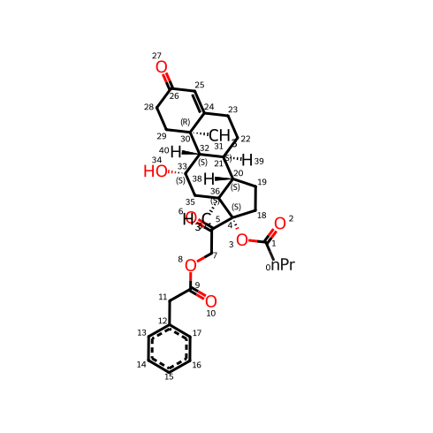 CCCC(=O)O[C@@]1(C(=O)COC(=O)Cc2ccccc2)CC[C@H]2[C@@H]3CCC4=CC(=O)CC[C@]4(C)[C@H]3[C@@H](O)C[C@@]21C